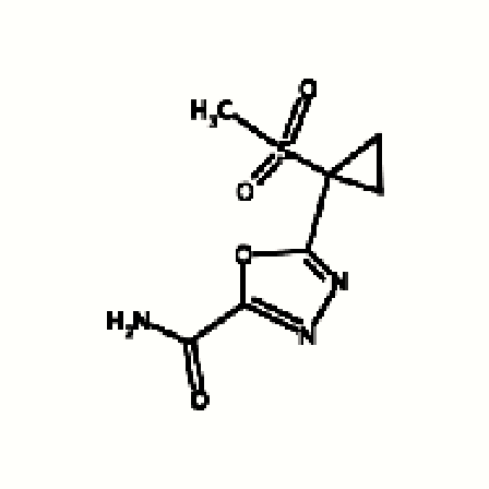 CS(=O)(=O)C1(c2nnc(C(N)=O)o2)CC1